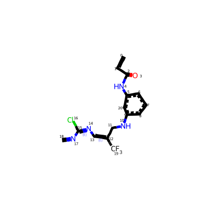 C=CC(=O)Nc1cccc(NC/C(=C\N=C(\Cl)N=C)C(F)(F)F)c1